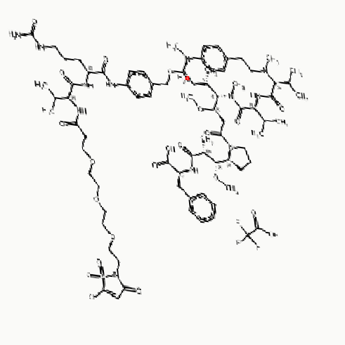 CC[C@H](C)[C@@H]([C@@H](CC(=O)N1CCC[C@H]1[C@H](OC)[C@@H](C)C(=O)N[C@@H](Cc1ccccc1)C(=O)O)OC)N(C)C(=O)[C@@H](NC(=O)[C@H](C(C)C)N(C)CCc1ccc(N(C)C(=O)OCc2ccc(NC(=O)[C@H](CCCNC(N)=O)NC(=O)[C@@H](NC(=O)CCOCCOCCOCCN3C(=O)C=C(Cl)S3(=O)=O)C(C)C)cc2)cc1)C(C)C.O=C(O)C(F)(F)F